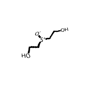 [O-][S+](CCO)CCO